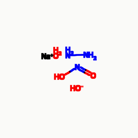 NN.O.O=NO.[Na+].[OH-]